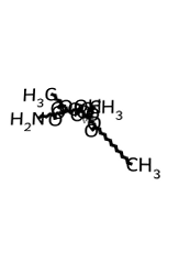 CCCCCCCCCCCCCC(=O)OC[C@H](COP(=O)(O)OCC(COC(=O)CCCN)OC(=O)CCCC)OC(C)=O